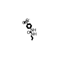 CCCNC(=O)Nc1ccc([N+](=O)[O-])cc1